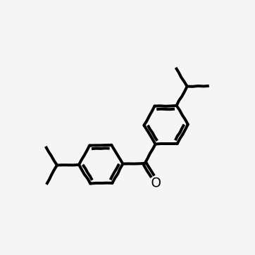 CC(C)c1ccc(C(=O)c2ccc(C(C)C)cc2)cc1